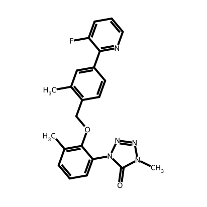 Cc1cc(-c2ncccc2F)ccc1COc1c(C)cccc1-n1nnn(C)c1=O